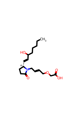 CCCCCC(O)C=C[C@H]1CCC(=O)N1CC=CCOCC(=O)O